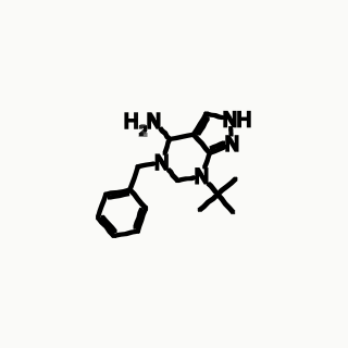 CC(C)(C)N1CN(Cc2ccccc2)C(N)c2c[nH]nc21